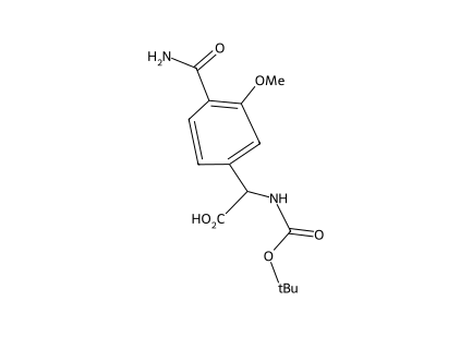 COc1cc(C(NC(=O)OC(C)(C)C)C(=O)O)ccc1C(N)=O